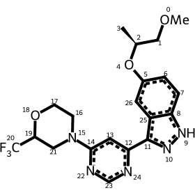 COC[C@H](C)Oc1ccc2[nH]nc(-c3cc(N4CCOC(C(F)(F)F)C4)ncn3)c2c1